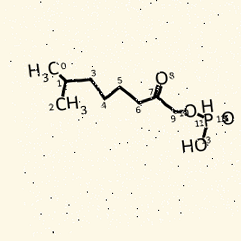 CC(C)CCCCC(=O)CO[PH](=O)O